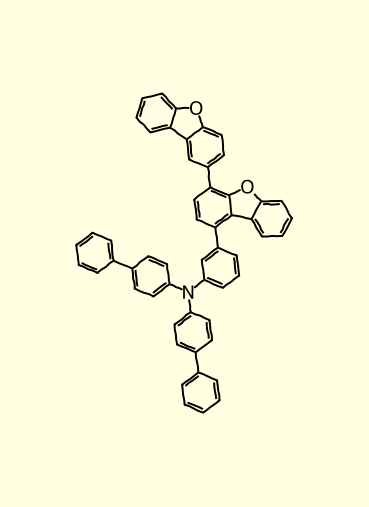 c1ccc(-c2ccc(N(c3ccc(-c4ccccc4)cc3)c3cccc(-c4ccc(-c5ccc6oc7ccccc7c6c5)c5oc6ccccc6c45)c3)cc2)cc1